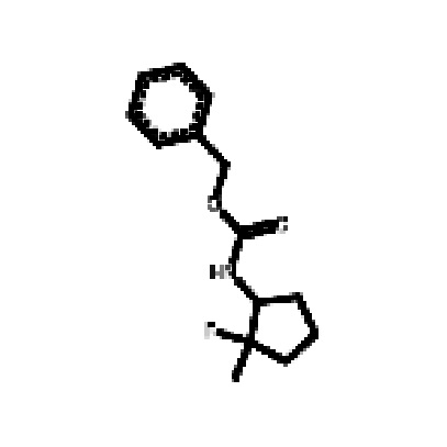 CC1(F)CCCC1NC(=O)OCc1ccccc1